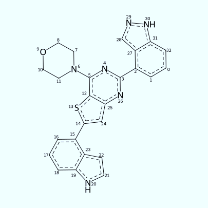 c1cc(-c2nc(N3CCOCC3)c3sc(-c4cccc5[nH]ccc45)cc3n2)c2cn[nH]c2c1